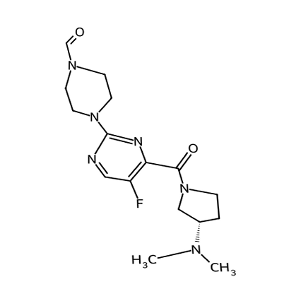 CN(C)[C@H]1CCN(C(=O)c2nc(N3CCN(C=O)CC3)ncc2F)C1